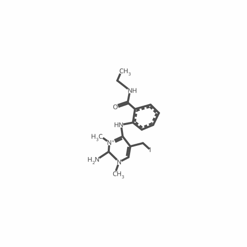 CCNC(=O)c1ccccc1NC1=[N+](C)C(N)N(C)C=C1CI